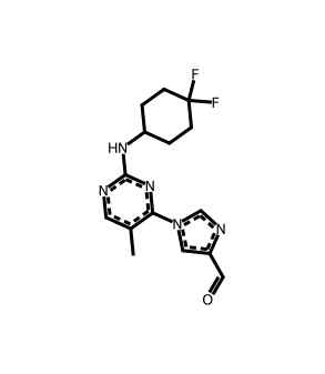 Cc1cnc(NC2CCC(F)(F)CC2)nc1-n1cnc(C=O)c1